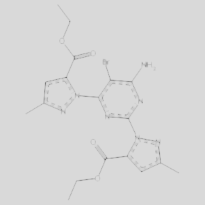 CCOC(=O)c1cc(C)nn1-c1nc(N)c(Br)c(-n2nc(C)cc2C(=O)OCC)n1